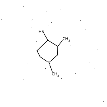 CC1CN(C)CCC1S